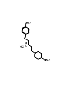 CNC1CCN(CCCCOc2ccc(OC)cc2)CC1.Cl.Cl